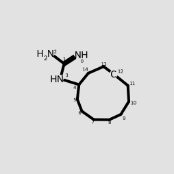 N=C(N)NC1CCCCCCCCCC1